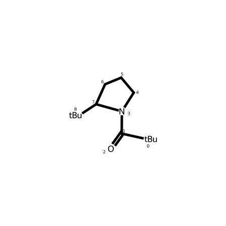 CC(C)(C)C(=O)N1CCCC1C(C)(C)C